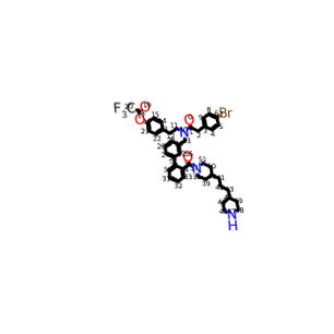 O=C(Cc1ccc(Br)cc1)N(CCc1ccc(OC(=O)C(F)(F)F)cc1)Cc1cccc(-c2ccccc2C(=O)N2CCC(CCCC3CCNCC3)CC2)c1